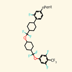 CCCCCc1ccc(C2CCC(C(F)(F)OC3CCC(C(F)(F)Oc4cc(F)c(C(F)(F)F)c(F)c4)CC3)CC2)c(F)c1